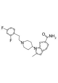 Cc1cc2ccc(C(N)=O)cc2n1C1CCN(CCc2ccc(F)cc2F)CC1